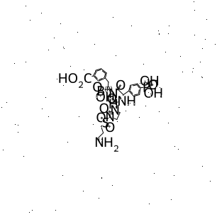 NCCCS(=O)(=O)N1CCN(C(=O)NC(C(=O)N[C@H]2Cc3cccc(C(=O)O)c3OB2O)c2ccc(P(=O)(O)O)cc2)C1=O